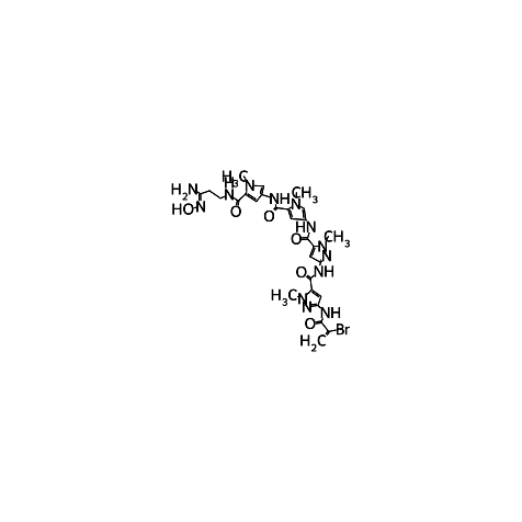 C=C(Br)C(=O)Nc1cc(C(=O)Nc2cc(C(=O)Nc3cc(C(=O)Nc4cc(C(=O)NCCC(N)=NO)n(C)c4)n(C)c3)n(C)n2)n(C)n1